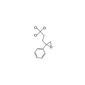 ClC(Cl)(Cl)CCC1(c2ccccc2)CO1